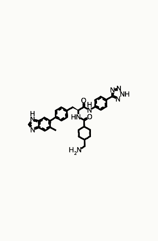 Cc1cc2nc[nH]c2cc1-c1ccc(C[C@H](NC(=O)C2CCC(CN)CC2)C(=O)Nc2ccc(-c3nn[nH]n3)cc2)cc1